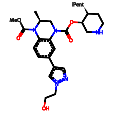 CCC[C@@H](C)C1CCNCC1OC(=O)N1C[C@H](C)N(C(=O)OC)c2ccc(-c3cnn(CCO)c3)cc21